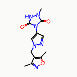 Cc1noc(C)c1Cn1cc(-n2c(=O)[nH]n(C)c2=O)cn1